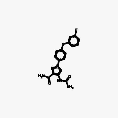 NC(=O)Nc1cn(-c2ccc(Sc3cccc(F)c3)cc2)nc1C(N)=O